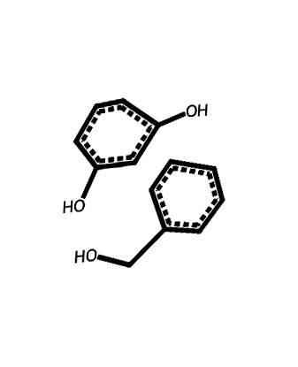 OCc1ccccc1.Oc1cccc(O)c1